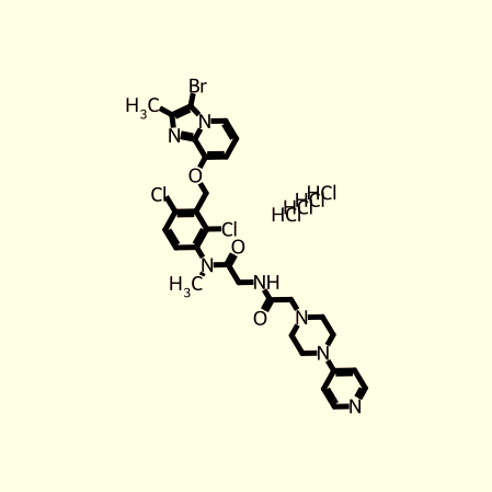 Cc1nc2c(OCc3c(Cl)ccc(N(C)C(=O)CNC(=O)CN4CCN(c5ccncc5)CC4)c3Cl)cccn2c1Br.Cl.Cl.Cl.Cl